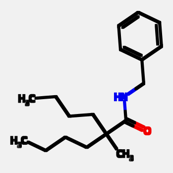 CCCCC(C)(CCCC)C(=O)NCc1ccccc1